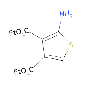 CCOC(=O)c1csc(N)c1C(=O)OCC